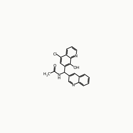 CC(=O)NC(c1cnc2ccccc2c1)c1cc(Cl)c2cccnc2c1O